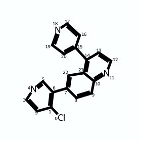 Clc1ccncc1-c1ccc2nccc(-c3ccncc3)c2c1